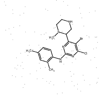 Cc1ccc(Nc2nc(Cl)c(Br)c(C3CNCCN3C)n2)c(C)c1